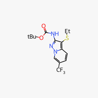 CCSc1c(NC(=O)OC(C)(C)C)nn2cc(C(F)(F)F)ccc12